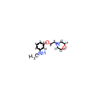 CNc1cccc(OCCN2CCOCC2)c1